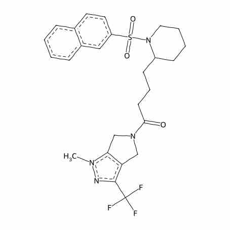 Cn1nc(C(F)(F)F)c2c1CN(C(=O)CCCC1CCCCN1S(=O)(=O)c1ccc3ccccc3c1)C2